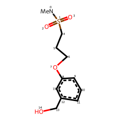 CNS(=O)(=O)CCCOc1cc[c]c(CO)c1